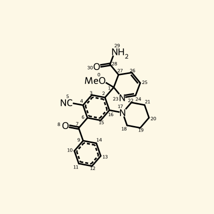 COC1(c2cc(C#N)c(C(=O)c3ccccc3)cc2N2CCCCC2)N=CC=CC1C(N)=O